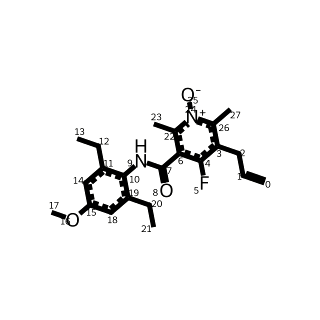 C=CCc1c(F)c(C(=O)Nc2c(CC)cc(OC)cc2CC)c(C)[n+]([O-])c1C